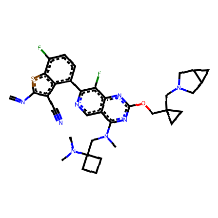 C=Nc1sc2c(F)ccc(-c3ncc4c(N(C)CC5(N(C)C)CCC5)nc(OCC5(CN6CC7CC7C6)CC5)nc4c3F)c2c1C#N